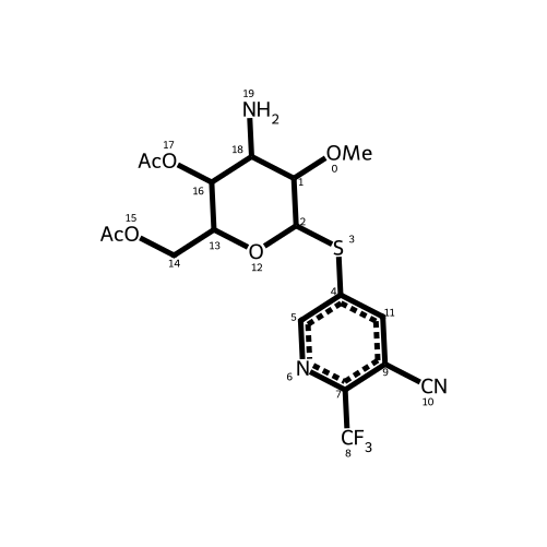 COC1C(Sc2cnc(C(F)(F)F)c(C#N)c2)OC(COC(C)=O)C(OC(C)=O)C1N